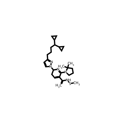 C=C(NSC)C1=CCC(n2ccc(CCCC(C3CC3)C3CC3)n2)N=C1N1CCCC1(C)C